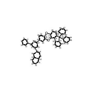 c1ccc(-c2cc(-c3ccc4ccccc4c3)cc(-c3ccc4c(c3)Oc3c(ccc5c3-c3ccccc3C5(c3ccccc3)c3ccccc3)O4)n2)cc1